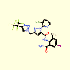 Cc1cc(I)cc(C(N)=O)c1NC(=O)c1cc(Cn2cc(C(F)(C(F)(F)F)C(F)(F)F)nn2)nn1-c1ncccc1Cl